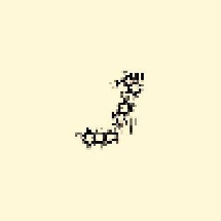 CN1CCC(=Cc2ccc(NC(=O)Nc3ccc(Oc4ccnc5[nH]cc(Cl)c45)cc3F)cc2C(F)(F)F)CC1